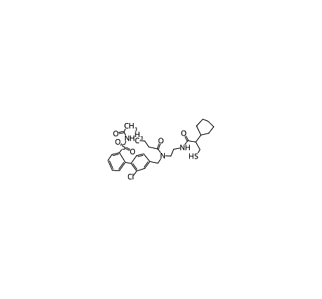 CCCC(=O)N(CCNC(=O)C(CS)C1CCCCC1)Cc1ccc(-c2ccccc2S(=O)(=O)NC(C)=O)c(Cl)c1